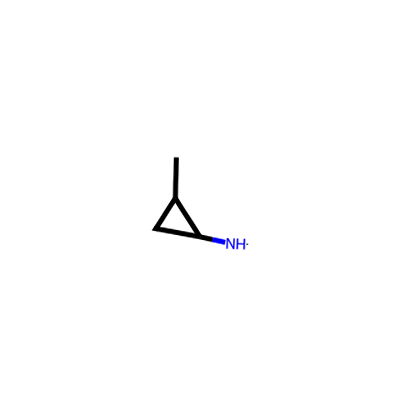 CC1CC1[NH]